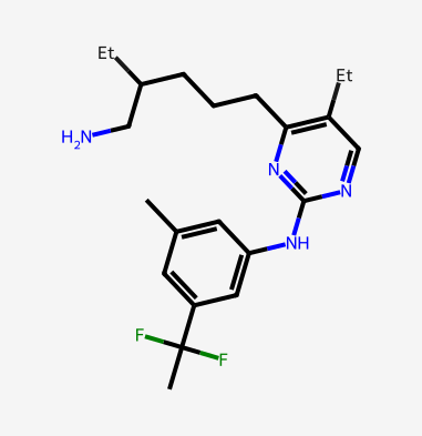 CCc1cnc(Nc2cc(C)cc(C(C)(F)F)c2)nc1CCCC(CC)CN